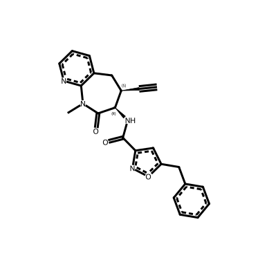 C#C[C@@H]1Cc2cccnc2N(C)C(=O)[C@@H]1NC(=O)c1cc(Cc2ccccc2)on1